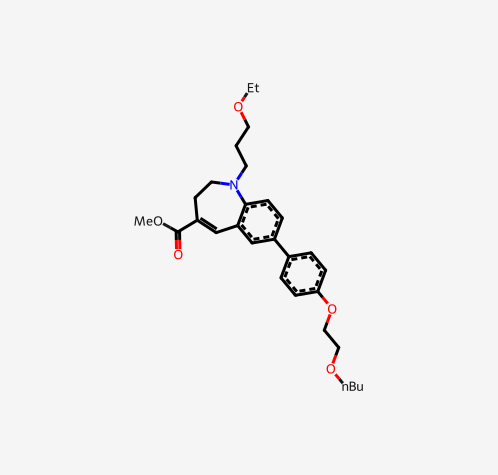 CCCCOCCOc1ccc(-c2ccc3c(c2)C=C(C(=O)OC)CCN3CCCOCC)cc1